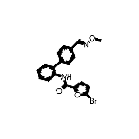 CO/N=C/c1ccc(-c2ccccc2NC(=O)c2ccc(Br)o2)cc1